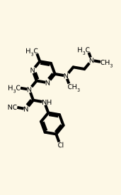 Cc1cc(N(C)CCN(C)C)nc(N(C)/C(=N\C#N)Nc2ccc(Cl)cc2)n1